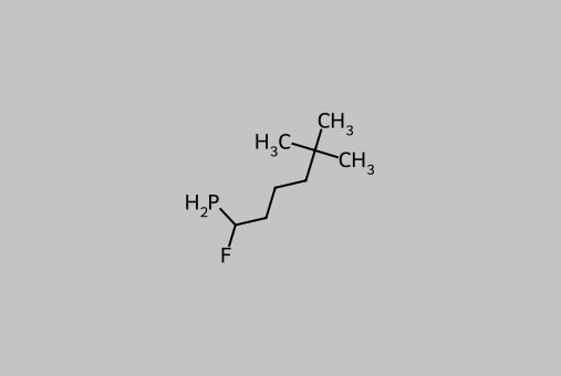 CC(C)(C)CCCC(F)P